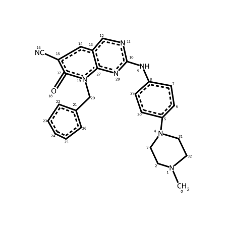 CN1CCN(c2ccc(Nc3ncc4cc(C#N)c(=O)n(Cc5ccccc5)c4n3)cc2)CC1